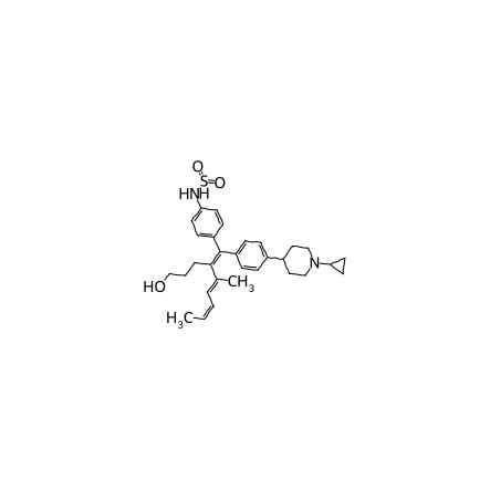 C\C=C/C=C(C)/C(CCCO)=C(/c1ccc(N[SH](=O)=O)cc1)c1ccc(C2CCN(C3CC3)CC2)cc1